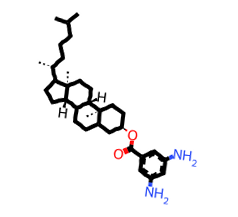 CC(C)CCC[C@@H](C)C1CC[C@H]2C3CCC4C[C@@H](OC(=O)c5cc(N)cc(N)c5)CC[C@]4(C)[C@H]3CC[C@]12C